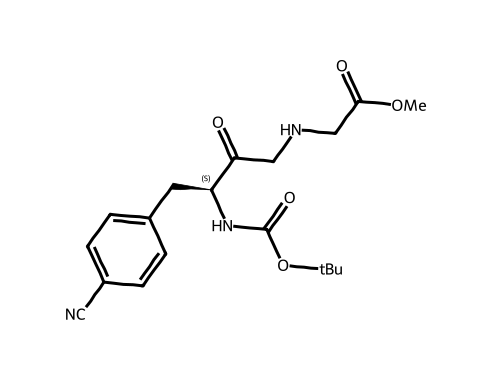 COC(=O)CNCC(=O)[C@H](Cc1ccc(C#N)cc1)NC(=O)OC(C)(C)C